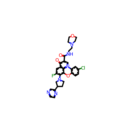 O=C(NCCN1CCOCC1)c1cn2c3c(c(N4CCC(c5cnccn5)C4)c(F)cc3c1=O)Oc1ccc(Cl)cc1-2